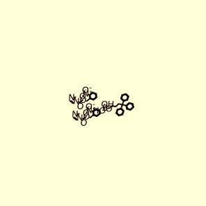 O=C(OCc1ccccc1[N+](=O)[O-])n1ccnc1.O=C(OCc1ccccc1[N+](=O)[O-])n1ccnc1.OB(O)OCCCC(c1ccccc1)(c1ccccc1)c1ccccc1